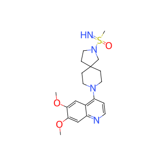 COc1cc2nccc(N3CCC4(CC3)CCN(S(C)(=N)=O)C4)c2cc1OC